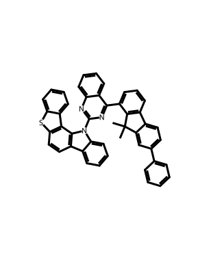 CC1(C)c2cc(-c3ccccc3)ccc2-c2cccc(-c3nc(-n4c5ccccc5c5ccc6sc7ccccc7c6c54)nc4ccccc34)c21